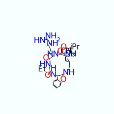 CC[C@@H]1NC(=O)C(CCCNC(=N)N)NC(=O)[C@](C)(NC(=O)C(C)C)CCCCNC(=O)[C@@H](c2ccccc2)NC1=O